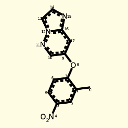 Cc1cc([N+](=O)[O-])ccc1Oc1cnn2ccnc2c1